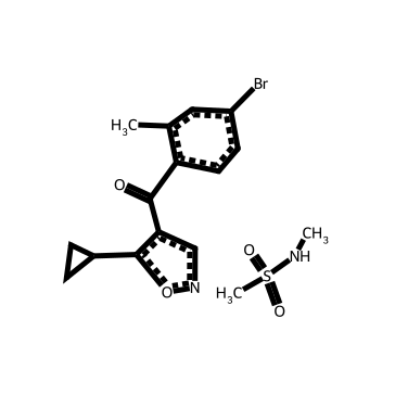 CNS(C)(=O)=O.Cc1cc(Br)ccc1C(=O)c1cnoc1C1CC1